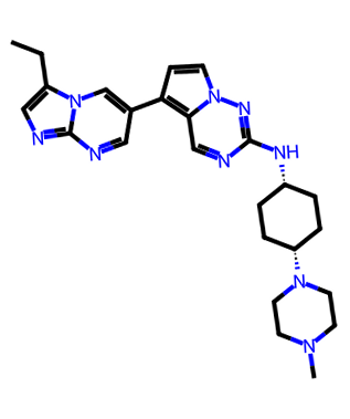 CCc1cnc2ncc(-c3ccn4nc(N[C@H]5CC[C@@H](N6CCN(C)CC6)CC5)ncc34)cn12